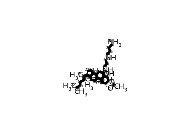 CC(=O)OC1CC[C@]2(C)[C@H]3CC[C@]4(C)[C@@H]([C@H](C)CCCC(C)C)CC[C@H]4[C@@H]3CC(NCCCNCCCCN)C2(O)C1